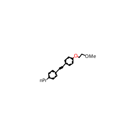 CCCc1ccc(C#Cc2ccc(OCCOC)cc2)cc1